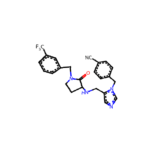 N#Cc1ccc(Cn2cncc2CNC2CCN(Cc3cccc(C(F)(F)F)c3)C2=O)cc1